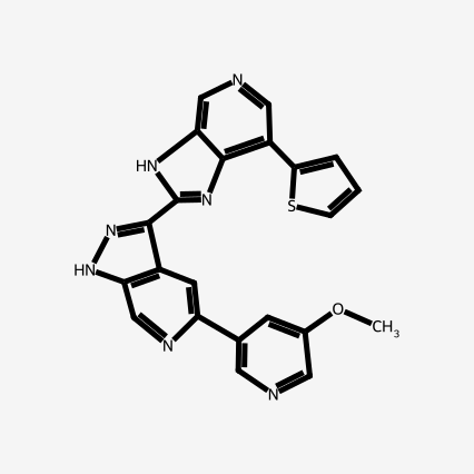 COc1cncc(-c2cc3c(-c4nc5c(-c6cccs6)cncc5[nH]4)n[nH]c3cn2)c1